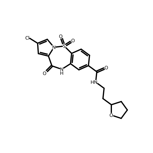 O=C(NCCC1CCCO1)c1ccc2c(c1)NC(=O)c1cc(Cl)cn1S2(=O)=O